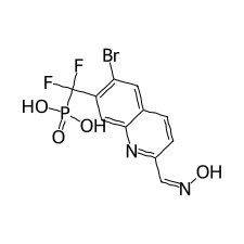 O=P(O)(O)C(F)(F)c1cc2nc(/C=N\O)ccc2cc1Br